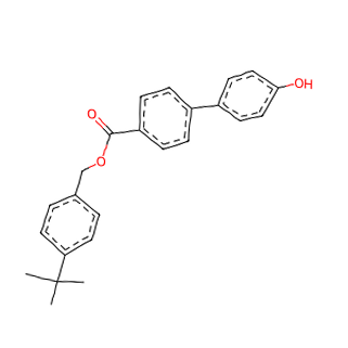 CC(C)(C)c1ccc(COC(=O)c2ccc(-c3ccc(O)cc3)cc2)cc1